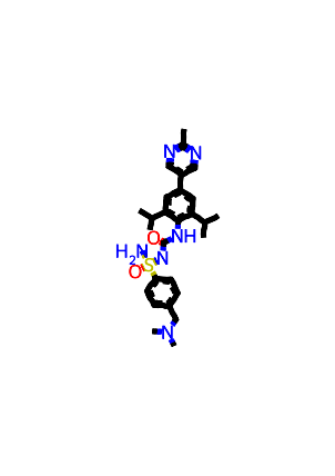 Cc1ncc(-c2cc(C(C)C)c(NC(=O)N=S(N)(=O)c3ccc(CN(C)C)cc3)c(C(C)C)c2)cn1